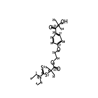 CCN(CC)C(=S)SC(C)(C)C(=O)OCCOc1ccc(C(=O)C(C)(C)O)cc1